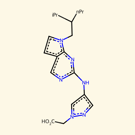 CCCC(Cn1ccc2cnc(Nc3cnn(CC(=O)O)c3)nc21)C(C)C